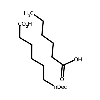 CCCCCC(=O)O.CCCCCCCCCCCCCCCC(=O)O